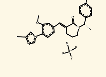 COc1cc(/C=C2\CCCN([C@@H](C)c3ccc(F)cc3)C2=O)ccc1-n1cnc(C)c1.F[B-](F)(F)F